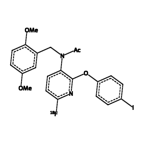 COc1ccc(OC)c(CN(C(C)=O)c2ccc([18F])nc2Oc2ccc(I)cc2)c1